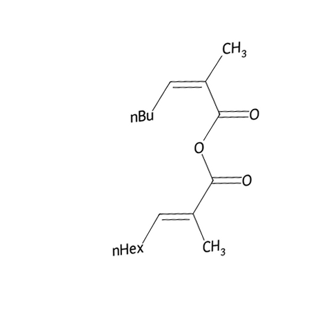 CCCCC=C(C)C(=O)OC(=O)C(C)=CCCCCCC